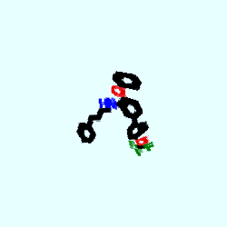 FC(F)(F)Oc1ccc(-c2ccc(Oc3ccccc3)c(NCCCCc3ccccc3)c2)cc1